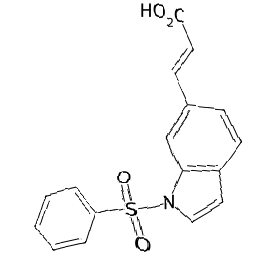 O=C(O)C=Cc1ccc2ccn(S(=O)(=O)c3ccccc3)c2c1